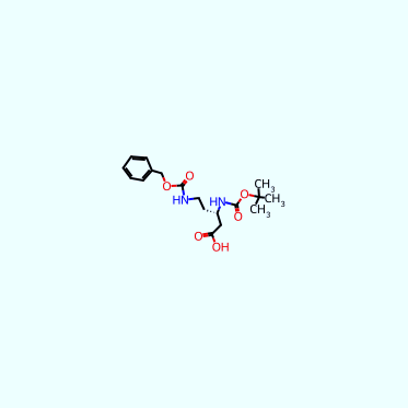 CC(C)(C)OC(=O)N[C@@H](CCNC(=O)OCc1ccccc1)CC(=O)O